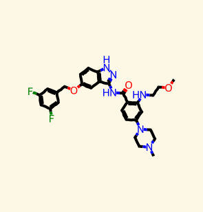 COCCNc1cc(N2CCN(C)CC2)ccc1C(=O)Nc1n[nH]c2ccc(OCc3cc(F)cc(F)c3)cc12